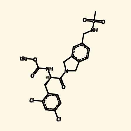 CC(C)(C)OC(=O)N[C@H](Cc1ccc(Cl)cc1Cl)C(=O)N1Cc2ccc(CNS(C)(=O)=O)cc2C1